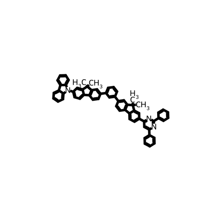 CC1(C)c2cc(-c3cccc(-c4ccc5c(c4)C(C)(C)c4cc(-n6c7ccccc7c7ccccc76)ccc4-5)c3)ccc2-c2ccc(-c3cc(-c4ccccc4)nc(-c4ccccc4)n3)cc21